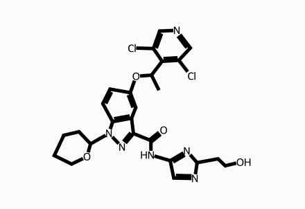 CC(Oc1ccc2c(c1)c(C(=O)NC1=NC(CCO)N=C1)nn2C1CCCCO1)c1c(Cl)cncc1Cl